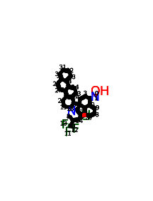 ON=C1C=CC(c2ncc(C(F)(F)F)cc2Cl)(C2CCCc3c2ccc2c3ccc3ccccc32)c2ccccc21